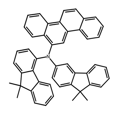 CC1(C)c2ccccc2-c2cc(N(c3cccc4c3-c3ccccc3C4(C)C)c3cc4c5ccccc5ccc4c4ccccc34)ccc21